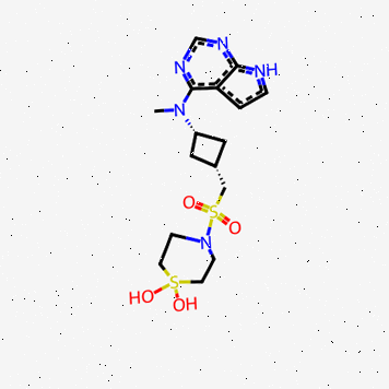 CN(c1ncnc2[nH]ccc12)[C@H]1C[C@@H](CS(=O)(=O)N2CCS(O)(O)CC2)C1